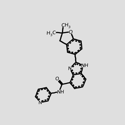 CC1(C)Cc2cc(-c3nc4c(C(=O)Nc5cccnc5)cccc4[nH]3)ccc2O1